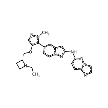 CCN1CC[C@@H]1COc1cnn(C)c1-c1ccn2nc(Nc3ccc4nccn4n3)cc2c1